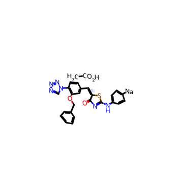 CC(=O)O.O=C1N=C(Nc2cc[c]([Na])cc2)S/C1=C/c1ccc(-n2cnnn2)c(OCc2ccccc2)c1